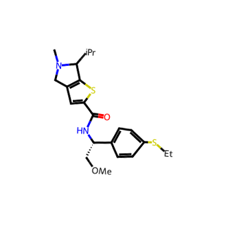 CCSc1ccc([C@H](COC)NC(=O)c2cc3c(s2)C(C(C)C)N(C)C3)cc1